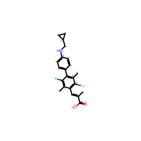 C/C(=C\c1c(C)c(F)c(-c2ccc(NCC3CC3)cc2)c(C)c1F)C(=O)O